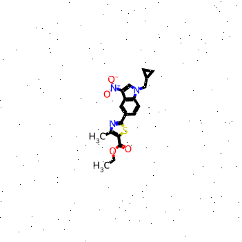 CCOC(=O)c1sc(-c2ccc3c(c2)c([N+](=O)[O-])cn3CC2CC2)nc1C